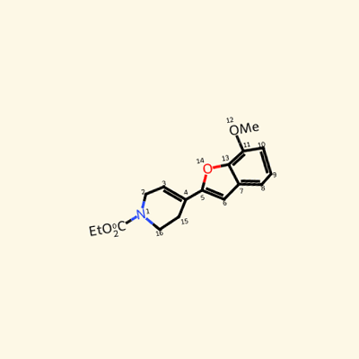 CCOC(=O)N1CC=C(c2cc3cccc(OC)c3o2)CC1